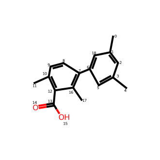 Cc1cc(C)cc(-c2ccc(C)c(C(=O)O)c2C)c1